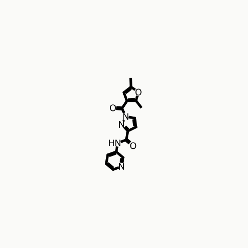 Cc1cc(C(=O)n2ccc(C(=O)Nc3cccnc3)n2)c(C)o1